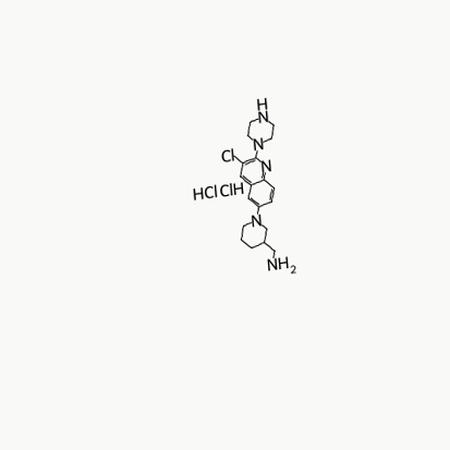 Cl.Cl.NCC1CCCN(c2ccc3nc(N4CCNCC4)c(Cl)cc3c2)C1